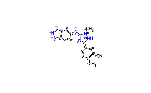 Cc1ccc(C2N=C(Nc3ccc4[nH]ncc4c3)N(C)N2)cc1C#N